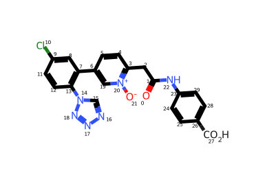 O=C(Cc1ccc(-c2cc(Cl)ccc2-n2cnnn2)c[n+]1[O-])Nc1ccc(C(=O)O)cc1